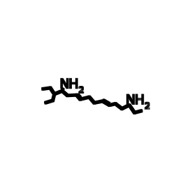 CCC(N)CCC=CCCC=CCC(N)C(CC)CC